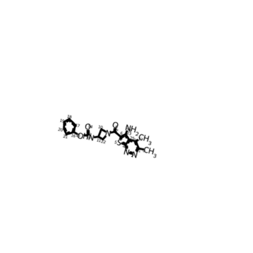 Cc1nnc2sc(C(=O)N3CC(NC(=O)Oc4ccccc4)C3)c(N)c2c1C